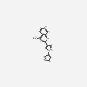 Oc1nc(-c2cnn([C@H]3CCNC3)c2)nc2cnccc12